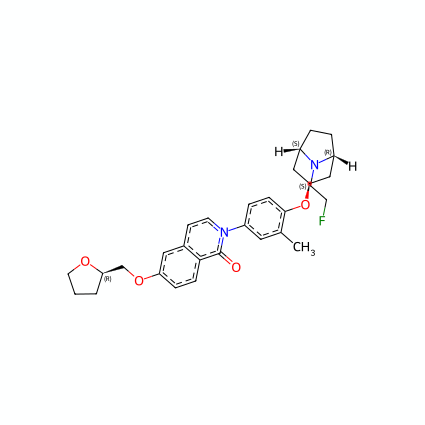 Cc1cc(-n2ccc3cc(OC[C@H]4CCCO4)ccc3c2=O)ccc1O[C@@H]1C[C@H]2CC[C@@H](C1)N2CCF